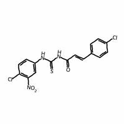 O=C(/C=C/c1ccc(Cl)cc1)NC(=S)Nc1ccc(Cl)c([N+](=O)[O-])c1